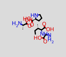 CC[C@H](C)[C@H](N)C(=O)O.C[C@H](N)C(=O)O.NCC(=O)O.O=C(O)[C@@H]1CCCN1